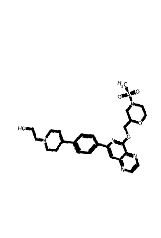 CS(=O)(=O)N1CCOC(COc2nc(-c3ccc(C4CCN(CCO)CC4)cc3)cc3nccnc23)C1